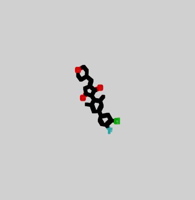 Cc1cc(-c2ccc(F)c(Cl)c2)cc(C)c1C1C(=O)C/C(=C\C2CCOCC2)C1=O